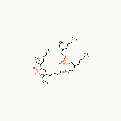 CCCCC(CC)CC(C(CC)CCCC)P(=O)(O)O.CCCCC(CC)CO[PH](=O)OCC(CC)CCCC